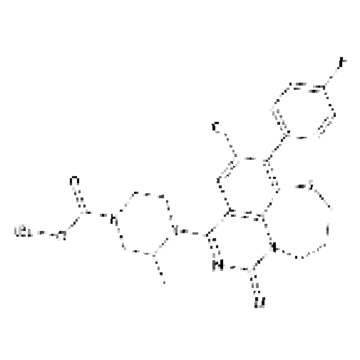 CC1CN(C(=O)OC(C)(C)C)CCN1c1nc(=O)n2c3c(c(-c4ccc(F)cc4)c(Cl)cc13)SCCC2